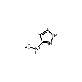 CC(=O)NC1=N[N]C=C1